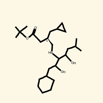 CC(C)CC(O)C(NC[C@@H](CC(=O)OC(C)(C)C)CC1CC1)C(O)CC1CCCCC1